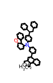 C=Cc1cc(-c2cccc(N(c3ccc(C(Cc4ccccc4)c4ccccc4)cc3)c3cccc4oc5ccccc5c34)c2)c2ccccc2c1C=C